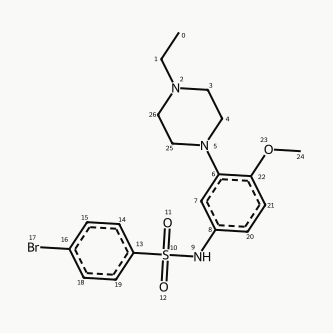 CCN1CCN(c2cc(NS(=O)(=O)c3ccc(Br)cc3)ccc2OC)CC1